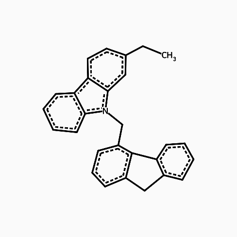 CCc1ccc2c3ccccc3n(Cc3cccc4c3-c3ccccc3C4)c2c1